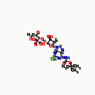 CC(=O)C(OC[C@H]1O[C@@H](n2cnc3c(NC(=O)OC(C)(C)C)nc(Cl)nc32)[C@@H](F)[C@@H]1O)P(=O)(O)O